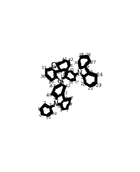 c1ccc(-n2c3ccccc3c3cc(N(c4ccc(-n5c6ccccc6c6ccccc65)cc4)c4cccc5oc6ccccc6c45)ccc32)cc1